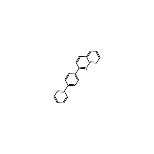 [c]1cc(-c2ccc(-c3ccccc3)cc2)nc2ccccc12